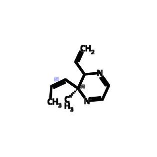 C=CC1N=CC=N[C@@]1(C)/C=C\C